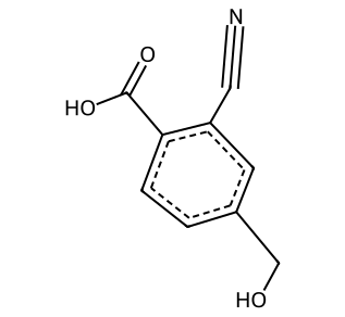 N#Cc1cc(CO)ccc1C(=O)O